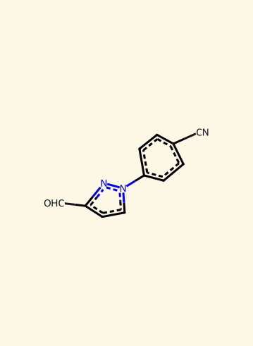 N#Cc1ccc(-n2ccc(C=O)n2)cc1